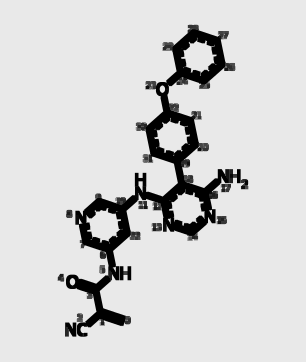 C=C(C#N)C(=O)Nc1cncc(Nc2ncnc(N)c2-c2ccc(Oc3ccccc3)cc2)c1